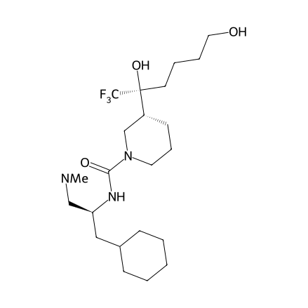 CNC[C@H](CC1CCCCC1)NC(=O)N1CCC[C@@H]([C@@](O)(CCCCO)C(F)(F)F)C1